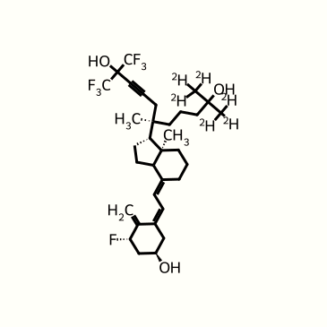 [2H]C([2H])([2H])C(O)(CCC[C@](C)(CC#CC(O)(C(F)(F)F)C(F)(F)F)[C@H]1CCC2/C(=C/C=C3/C[C@@H](O)C[C@H](F)C3=C)CCC[C@@]21C)C([2H])([2H])[2H]